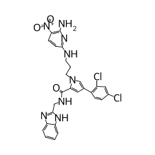 Nc1nc(NCCCn2cc(-c3ccc(Cl)cc3Cl)cc2C(=O)NCc2nc3ccccc3[nH]2)ccc1[N+](=O)[O-]